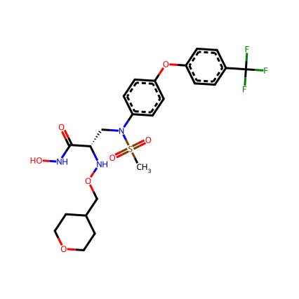 CS(=O)(=O)N(C[C@H](NOCC1CCOCC1)C(=O)NO)c1ccc(Oc2ccc(C(F)(F)F)cc2)cc1